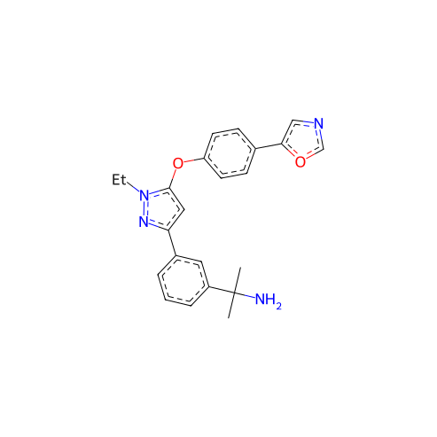 CCn1nc(-c2cccc(C(C)(C)N)c2)cc1Oc1ccc(-c2cnco2)cc1